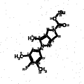 Cc1cc(-n2nc3c(c2N)CN(C(=O)OC(C)(C)C)C3)cc(C)c1F